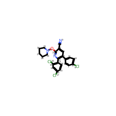 N#Cc1cc(-c2ccc(Cl)cc2)c(-c2ccc(Cl)cc2Cl)nc1ON1CCCCC1